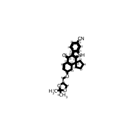 CC1(C)OC[C@H](COC2C=CC3=C(C2)C2(CCCC2)c2[nH]c4cc(C#N)ccc4c2C3=O)O1